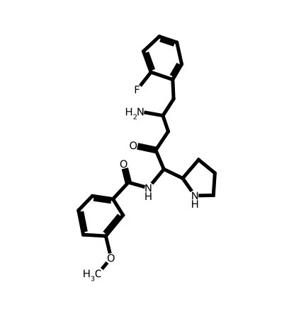 COc1cccc(C(=O)NC(C(=O)CC(N)Cc2ccccc2F)C2CCCN2)c1